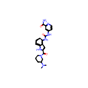 CN(C)C1CCCN(C(=O)c2cc3c(NC(=O)Nc4ccnc(C(N)=O)c4)cccc3[nH]2)C1